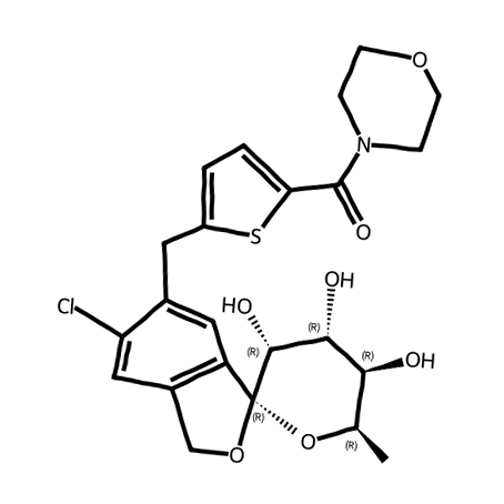 C[C@H]1O[C@@]2(OCc3cc(Cl)c(Cc4ccc(C(=O)N5CCOCC5)s4)cc32)[C@H](O)[C@H](O)[C@H]1O